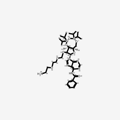 CC(C)[Si]1(C(C)C)OC[C@H]2O[C@@H](n3cnc4c(NC(=O)c5ccccc5)ncnc43)C(OCOCCOCCN)[C@H]2O[Si](C(C)C)(C(C)C)O1